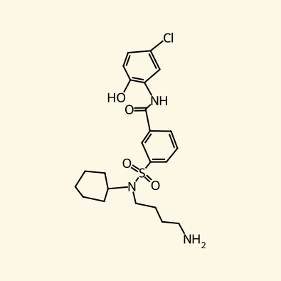 NCCCCN(C1CCCCC1)S(=O)(=O)c1cccc(C(=O)Nc2cc(Cl)ccc2O)c1